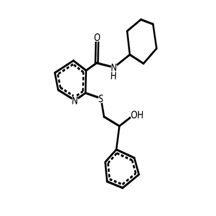 O=C(NC1CCCCC1)c1cccnc1SCC(O)c1ccccc1